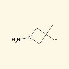 CC1(F)CN(N)C1